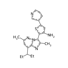 CCC(CC)c1cc(C)nn2c(-c3sc(-c4cccnc4)cc3N)c(C)nc12